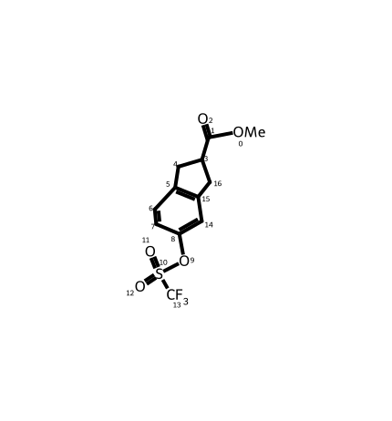 COC(=O)C1Cc2ccc(OS(=O)(=O)C(F)(F)F)cc2C1